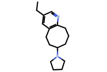 CCc1cnc2c(c1)CCC(N1CCCC1)CCC2